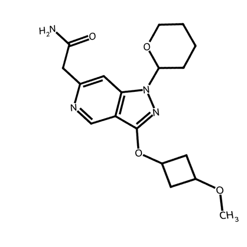 COC1CC(Oc2nn(C3CCCCO3)c3cc(CC(N)=O)ncc23)C1